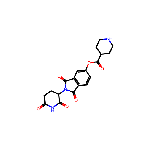 O=C1CCC(N2C(=O)c3ccc(OC(=O)C4CCNCC4)cc3C2=O)C(=O)N1